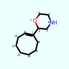 C1=C(/C2CNCCO2)CCCCCC/1